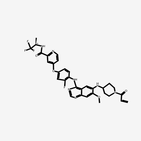 C=CC(=O)N1CCC(Nc2cc3c(Nc4ccc(Oc5ccnc(C(=O)N[C@H](C)C(F)(F)F)c5)cc4F)ncnc3cc2OC)CC1